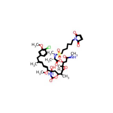 CNC(=O)CC(OC(=O)[C@H](C)N(C)S(=O)(=O)CCCCCCN1C(=O)C=CC1=O)C1(C)OC1C(C)C1CC(O)(C(/C=C/C=C(\C)Cc2ccc(Cl)c(OC)c2)OC)NC(=O)O1